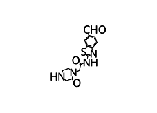 O=Cc1ccc2nc(NC(=O)CN3CCNCC3=O)sc2c1